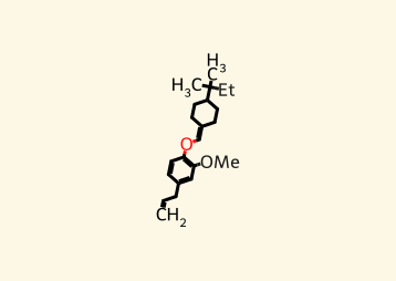 C=CCc1ccc(OC=C2CCC(C(C)(C)CC)CC2)c(OC)c1